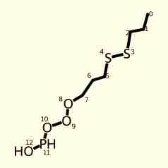 CCCSSCCCOOOPO